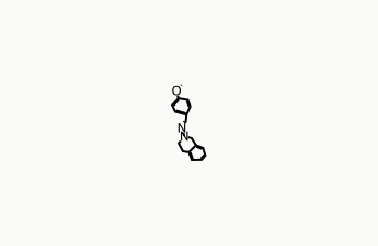 COc1ccc(C=NN2CCc3ccccc3C2)cc1